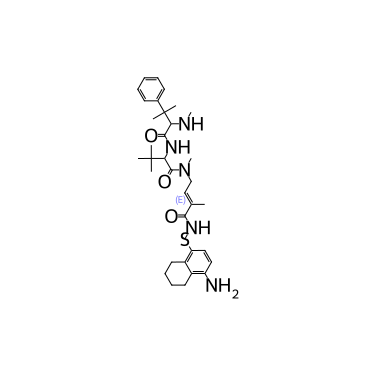 CNC(C(=O)NC(C(=O)N(C)C/C=C(\C)C(=O)NSc1ccc(N)c2c1CCCC2)C(C)(C)C)C(C)(C)c1ccccc1